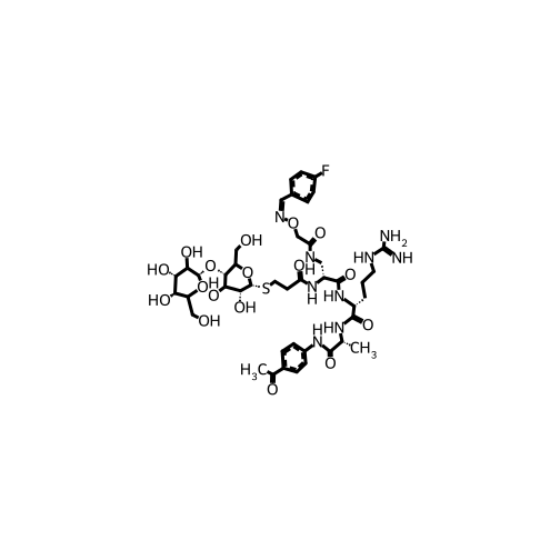 CC(=O)c1ccc(NC(=O)[C@@H](C)NC(=O)[C@@H](CCCNC(=N)N)NC(=O)[C@@H](CNC(=O)CO/N=C\c2ccc(F)cc2)NC(=O)CCS[C@H]2OC(CO)[C@@H](O[C@@H]3OC(CO)[C@@H](O)[C@H](O)C3O)C(O)[C@H]2O)cc1